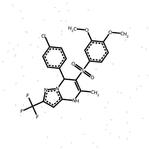 COc1ccc(S(=O)(=O)C2=C(C)Nc3cc(C(F)(F)F)nn3C2c2ccc(Cl)cc2)cc1OC